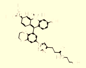 Cc1ccc2c(c1)[Si](C)(C)C1=CC(=[N+](C)C)C=CC1=C2c1cc(-n2cc(CCC(=O)NCCO)nn2)cc2c1OCCO2